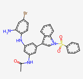 CC(=O)Nc1cc(Nc2ccc(Br)cc2N)cc(-c2cn(S(=O)(=O)c3ccccc3)c3ccccc23)c1